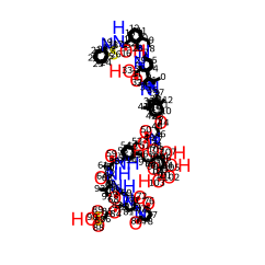 Cc1c(-c2ccc(N3CCc4cccc(C(O)Nc5nc6ccccc6s5)c4C3)nc2C(=O)O)cnn1CC12CC3(C)CC(OCCN(C)C(=O)OCc4ccc(NC(=O)[C@H](C)NC(=O)[C@@H](NC(=O)CN5C(=O)[C@@H](N6C(=O)C=CC6=O)C[C@H]5COCCS(=O)(=O)O)C(C)C)cc4CC[C@@H]4O[C@H](C(=O)O)[C@@H](O)[C@H](O)[C@H]4O)(CC1(C)C3)C2